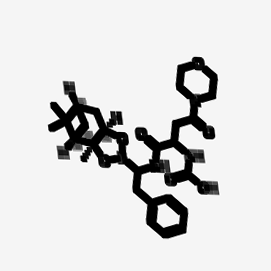 CC1(C)[C@@H]2C[C@H]3OB(C(Cc4ccccc4)NC(=O)C(CC(=O)N4CCOCC4)NC(=O)O)O[C@@]3(C)[C@H]1C2